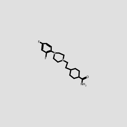 NC(=O)C1CCC(CCN2CCN(c3ccc(F)cc3F)CC2)CC1